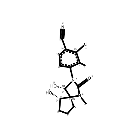 Cc1c(N2C(=O)N(C)[C@@]3(CCC[C@@H]3O)[C@@H]2O)ccc(C#N)c1Cl